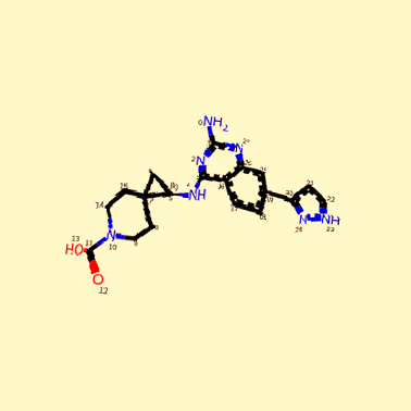 Nc1nc(N[C@@H]2CC23CCN(C(=O)O)CC3)c2ccc(-c3cc[nH]n3)cc2n1